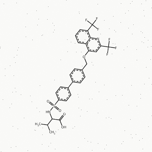 CC(C)C(NS(=O)(=O)c1ccc(-c2ccc(COc3cc(C(F)(F)F)nc4c(C(F)(F)F)cccc34)cc2)cc1)C(=O)O